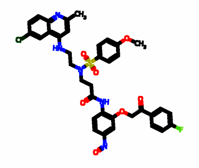 COc1ccc(S(=O)(=O)N(CCNc2cc(C)nc3ccc(Cl)cc23)CCC(=O)Nc2ccc(N=O)cc2OCC(=O)c2ccc(F)cc2)cc1